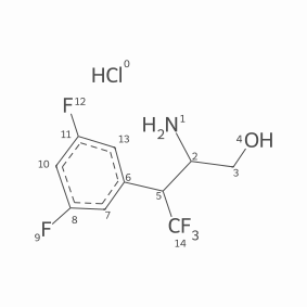 Cl.NC(CO)C(c1cc(F)cc(F)c1)C(F)(F)F